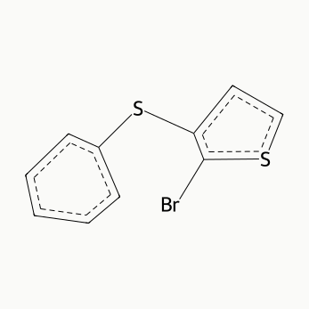 Brc1sccc1Sc1ccccc1